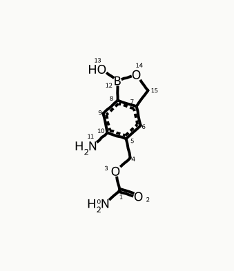 NC(=O)OCc1cc2c(cc1N)B(O)OC2